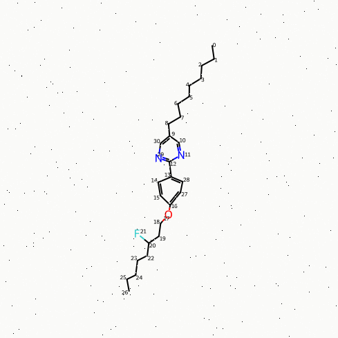 CCCCCCCCCc1cnc(-c2ccc(OCCC(F)CCCCC)cc2)nc1